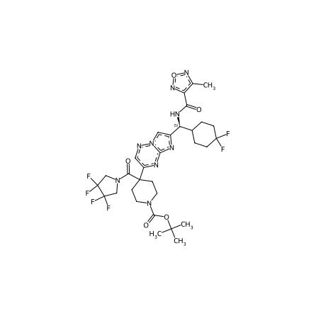 Cc1nonc1C(=O)N[C@H](c1cn2ncc(C3(C(=O)N4CC(F)(F)C(F)(F)C4)CCN(C(=O)OC(C)(C)C)CC3)nc2n1)C1CCC(F)(F)CC1